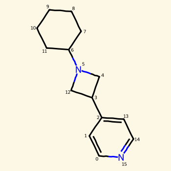 c1cc(C2CN(C3CCCCC3)C2)ccn1